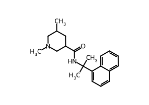 CC1CC(C(=O)NC(C)(C)c2cccc3ccccc23)CN(C)C1